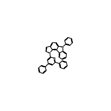 c1ccc(-c2cc(-c3ccccc3)nc(-n3ccc4ccc5c(c6ccccc6n5-c5ccccc5)c43)c2)cc1